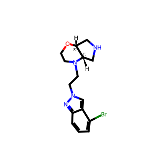 Brc1cccc2nn(CCN3CCO[C@@H]4CNC[C@@H]43)cc12